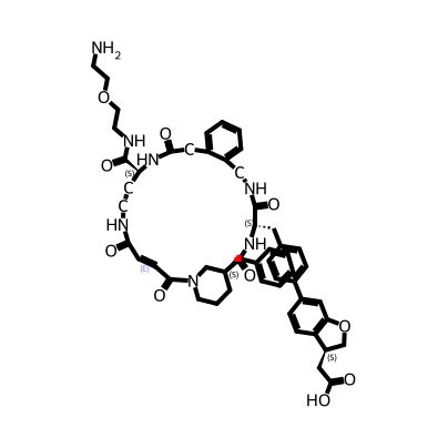 NCCOCCNC(=O)[C@@H]1CCNC(=O)/C=C/C(=O)N2CCC[C@](Cc3ccccc3)(C2)C(=O)N[C@@H](Cc2ccc(-c3ccc4c(c3)OC[C@H]4CC(=O)O)cc2)C(=O)NCc2ccccc2CC(=O)N1